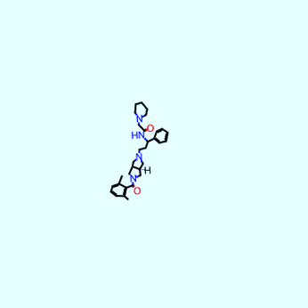 Cc1cccc(C)c1C(=O)N1CC2CN(CCC(NC(=O)CN3CCCCC3)c3ccccc3)C[C@H]2C1